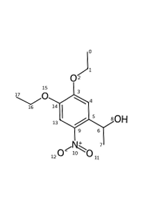 CCOc1cc(C(C)O)c([N+](=O)[O-])cc1OCC